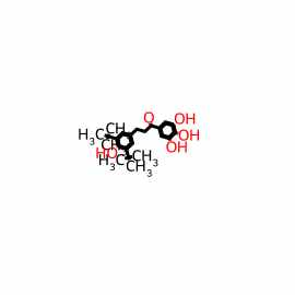 CC(C)(C)c1cc(CCC(=O)c2cc(O)c(O)c(O)c2)cc(C(C)(C)C)c1O